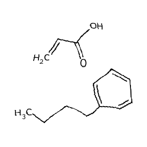 C=CC(=O)O.CCCCc1ccccc1